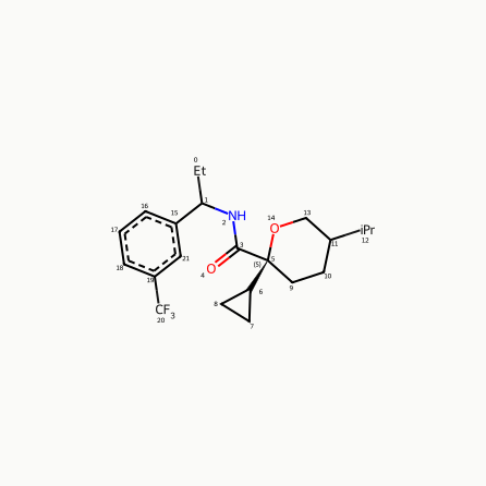 CCC(NC(=O)[C@@]1(C2CC2)CCC(C(C)C)CO1)c1cccc(C(F)(F)F)c1